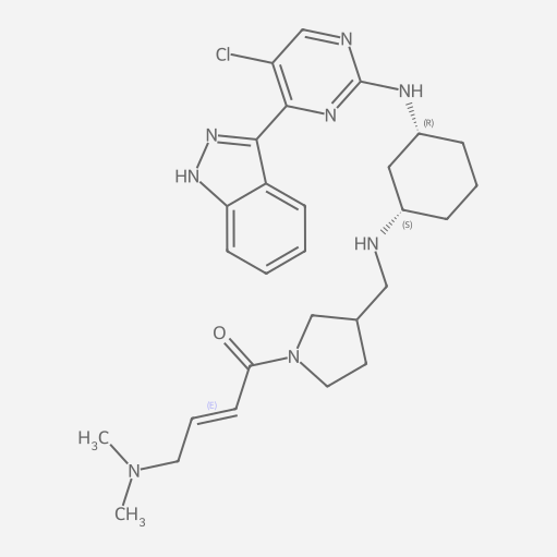 CN(C)C/C=C/C(=O)N1CCC(CN[C@H]2CCC[C@@H](Nc3ncc(Cl)c(-c4n[nH]c5ccccc45)n3)C2)C1